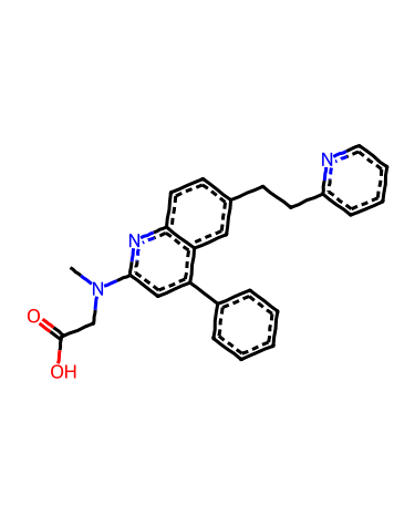 CN(CC(=O)O)c1cc(-c2ccccc2)c2cc(CCc3ccccn3)ccc2n1